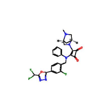 CN1C[C@@H]2C[C@H]1CN2c1c(N(Cc2ccc(-c3nnc(C(F)F)o3)cc2F)c2ccccc2)c(=O)c1=O